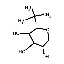 CC(C)(C)[C@@H]1OC[C@@H](O)C(O)C1O